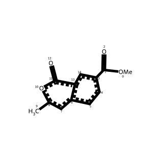 COC(=O)c1ccc2cc(C)oc(=O)c2c1